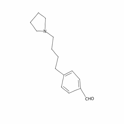 O=Cc1ccc(CCCCN2CCCC2)cc1